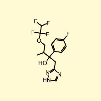 CC(COC(F)(F)C(F)F)C(O)(Cc1nc[nH]n1)c1ccc(F)cc1